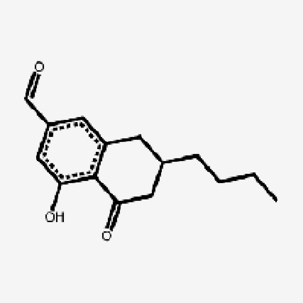 CCCCC1CC(=O)c2c(O)cc(C=O)cc2C1